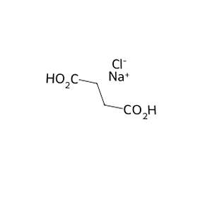 O=C(O)CCC(=O)O.[Cl-].[Na+]